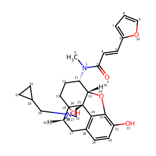 CN(C(=O)/C=C/c1ccco1)[C@H]1CCC2(O)[C@H]3Cc4ccc(O)c5c4[C@@]2(CCN3CC2CC2)[C@H]1O5